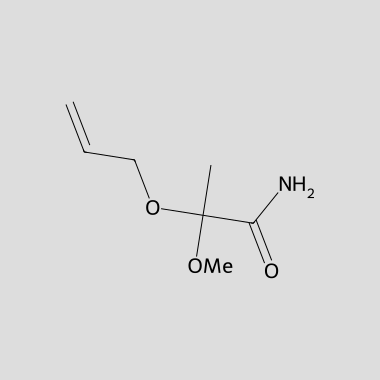 C=CCOC(C)(OC)C(N)=O